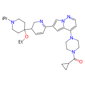 CCOC1(C2C=CC(c3cc4c(N5CCN(C(=O)C6CC6)CC5)ccnn4c3)=NC2)CCN(C(C)C)CC1